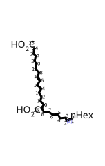 CCCCCC/C=C\CCCCCCC(CCCCCCC=CCCCCCCCC(=O)O)C(=O)O